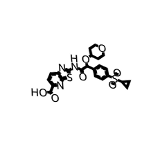 O=C(O)c1ccc2nc(NC(=O)C(OC3CCOCC3)c3ccc(S(=O)(=O)C4CC4)cc3)sc2n1